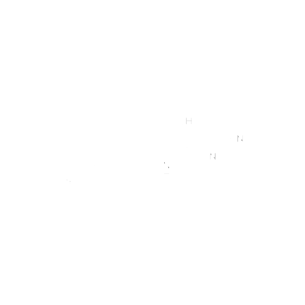 C/C(=N\C#N)NCCCC(C)(C)C